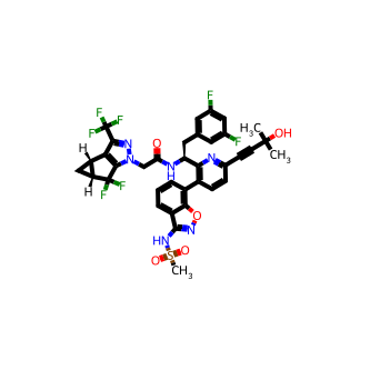 CC(C)(O)C#Cc1ccc(-c2cccc3c(NS(C)(=O)=O)noc23)c([C@H](Cc2cc(F)cc(F)c2)NC(=O)Cn2nc(C(F)(F)F)c3c2C(F)(F)[C@@H]2C[C@H]32)n1